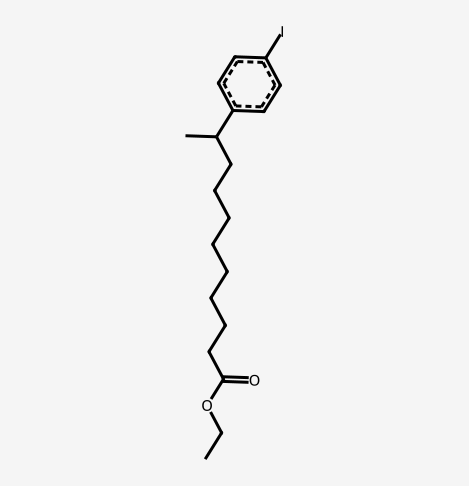 CCOC(=O)CCCCCCCCC(C)c1ccc(I)cc1